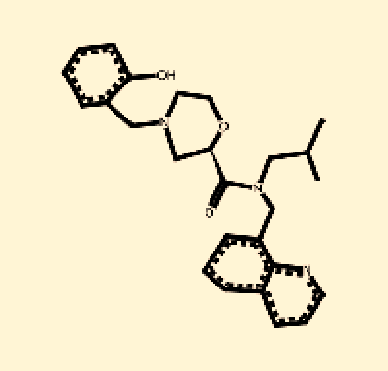 CC(C)CN(Cc1cccc2cccnc12)C(=O)[C@H]1CN(Cc2ccccc2O)CCO1